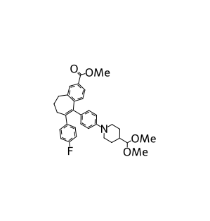 COC(=O)c1ccc2c(c1)CCCC(c1ccc(F)cc1)=C2c1ccc(N2CCC(C(OC)OC)CC2)cc1